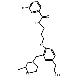 CC1CN(Cc2cc(CCO)ccc2OCCCNC(=O)c2ccc[n+]([O-])c2)CCN1